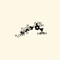 CNC(=O)CNC(=O)C(C)(N)CN1CC(Oc2ccc([C@H]3C[C@H]3B(O)O)c(O)c2C(=O)O)C1